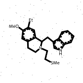 CCc1cc2c(cc1OC)CCN(CCSC)C2Cc1c[nH]c2ccccc12